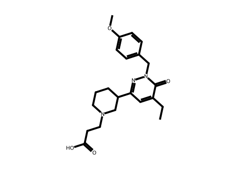 CCc1cc(C2CCCN(CCC(=O)O)C2)nn(Cc2ccc(OC)cc2)c1=O